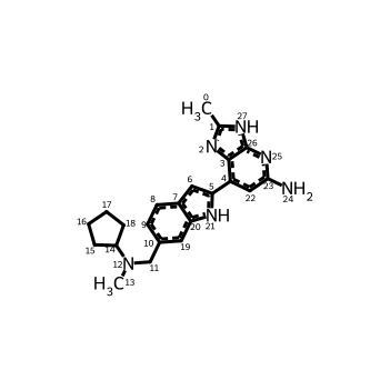 Cc1nc2c(-c3cc4ccc(CN(C)C5CCCC5)cc4[nH]3)cc(N)nc2[nH]1